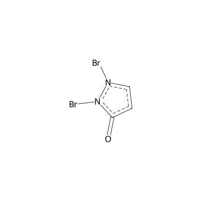 O=c1ccn(Br)n1Br